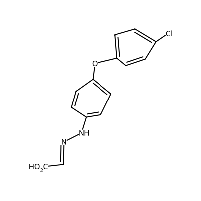 O=C(O)C=NNc1ccc(Oc2ccc(Cl)cc2)cc1